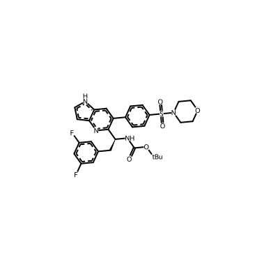 CC(C)(C)OC(=O)N[C@@H](Cc1cc(F)cc(F)c1)c1nc2cc[nH]c2cc1-c1ccc(S(=O)(=O)N2CCOCC2)cc1